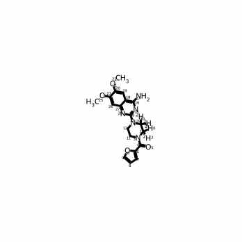 [2H]C1([2H])N(C(=O)c2ccco2)CCN(c2nc(N)c3cc(OC)c(OC)cc3n2)C1([2H])[2H]